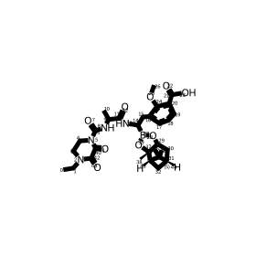 CCN1CCN(C(=O)NC(C)C(=O)NC(Cc2cccc(C(=O)O)c2OC)B2OC3C[C@@H]4C[C@@H](C4(C)C)[C@]3(C)O2)C(=O)C1=O